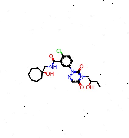 CCC(O)Cn1c(=O)cnn(-c2ccc(Cl)c(C(=O)NCC3(O)CCCCCC3)c2)c1=O